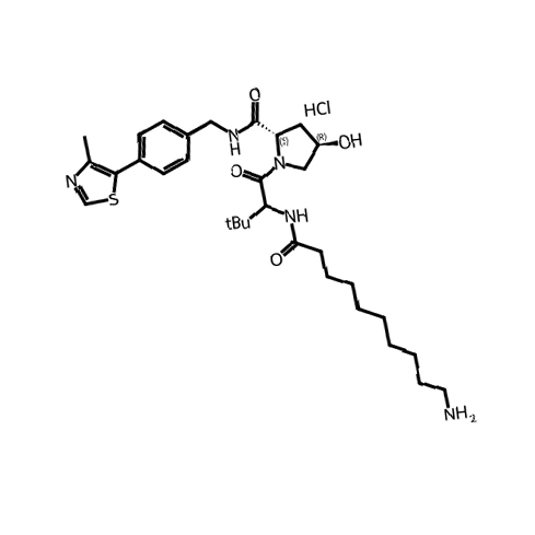 Cc1ncsc1-c1ccc(CNC(=O)[C@@H]2C[C@@H](O)CN2C(=O)C(NC(=O)CCCCCCCCCN)C(C)(C)C)cc1.Cl